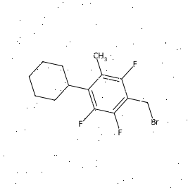 Cc1c(F)c(CBr)c(F)c(F)c1C1CCCCC1